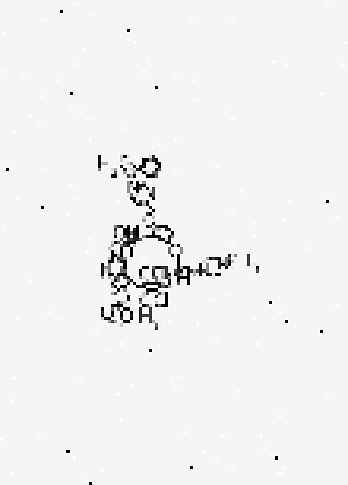 COc1ccccc1-c1nccc(COc2ccc3cc2C[C@H](C(=O)O)Oc2ncnc4sc(C[C@@H]5COCCO5)c(c24)-c2c(C)c(Cl)c(c(Cl)c2C)O[C@H](CCN2CCN(C)CC2)CO3)n1